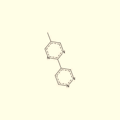 Cc1cnc(-c2ccnnc2)nc1